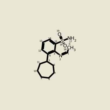 C/C=N\c1c(C2CCCCCC2)cccc1S(N)(=O)=O